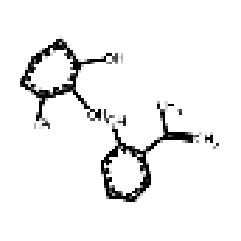 C=C(C)c1ccccc1O.CCCc1cccc(O)c1O